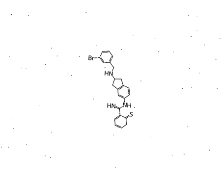 N=C(Nc1ccc2c(c1)CC(NCc1cccc(Br)c1)C2)C1=CC=CCC1=S